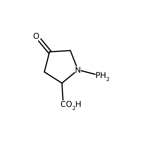 O=C1CC(C(=O)O)N(P)C1